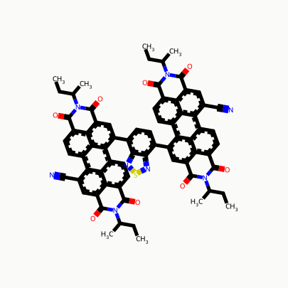 CCC(C)N1C(=O)c2ccc3c4c(-c5ccc(-c6cc7c8c(ccc9c%10c(C#N)cc%11c%12c(ccc(c6c89)c%12%10)C(=O)N(C(C)CC)C%11=O)C(=O)N(C(C)CC)C7=O)c6nsnc56)cc5c6c(ccc(c7c(C#N)cc(c2c37)C1=O)c64)C(=O)N(C(C)CC)C5=O